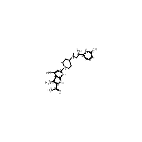 CCCc1cc(N2CCC(NCC(O)c3cccc(C#N)n3)CC2)nc2sc(C(N)=O)c(N)c12